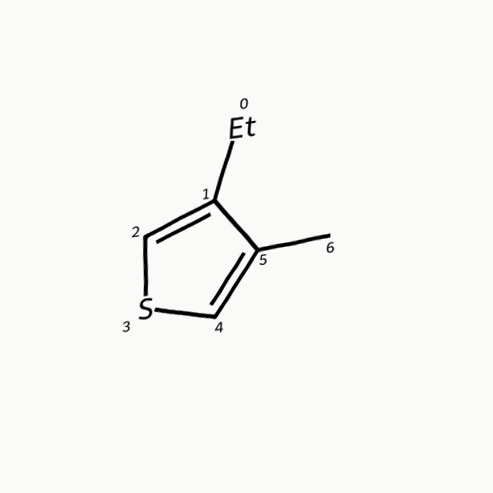 [CH2]Cc1cscc1C